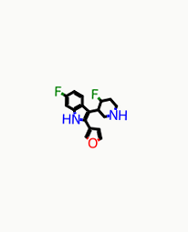 Fc1ccc2c(C3CNCCC3F)c(-c3ccoc3)[nH]c2c1